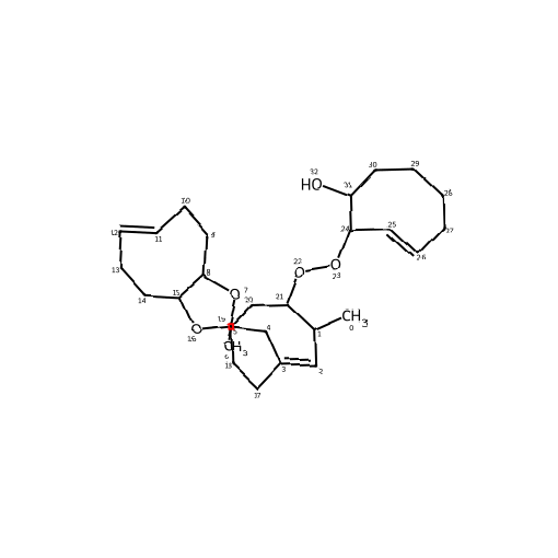 CC1/C=C(\CC2(C)OC3CC/C=C/CCC3O2)CCCCC1OOC1/C=C/CCCCC1O